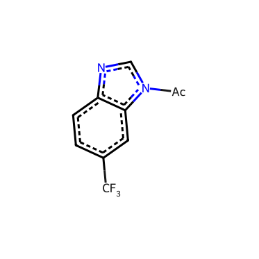 CC(=O)n1cnc2ccc(C(F)(F)F)cc21